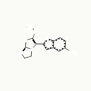 CSC1=C(c2cc3cc(C)ccc3s2)N2CCN=C2S1